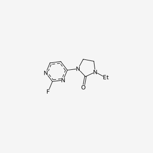 CCN1CCN(c2ccnc(F)n2)C1=O